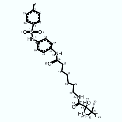 Cc1ccc(S(=O)(=O)Nc2ccc(NC(=O)CCCCCCNC(=O)C(O)(O)C(F)(F)F)cc2)cc1